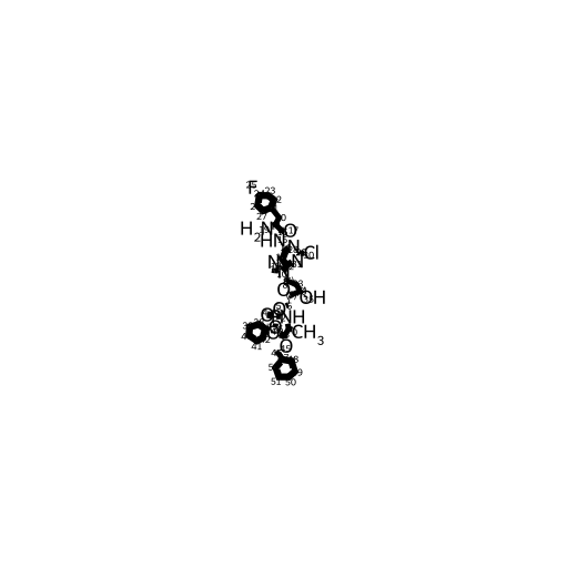 CC(NP(=O)(OC[C@@H]1O[C@H](n2cnc3c(NC(=O)C(N)Cc4ccc(F)cc4)nc(Cl)nc32)C[C@@H]1O)Oc1ccccc1)C(=O)OCc1ccccc1